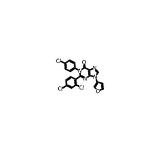 O=c1c2ncn(-c3ccoc3)c2nc(-c2ccc(Cl)cc2Cl)n1-c1ccc(Cl)cc1